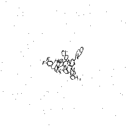 CN1CCN(c2cc(N3CCOCC3)cn3c(=O)c(O)c(C4=[N+]C=C(Cc5ccc(F)c(F)c5)N4)nc23)C1=O.[Cl-]